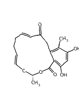 Cc1c(O)cc(O)c2c1CC(=O)/C=C/CC/C=C/C[C@@H](C)OC2=O